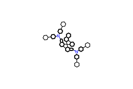 c1ccc2c(c1)-c1c(ccc3ccccc13)C21c2c(ccc3cc(N(c4ccc(C5CCCCC5)cc4)c4ccc(C5CCCCC5)cc4)ccc23)-c2ccc3cc(N(c4ccc(C5CCCCC5)cc4)c4ccc(C5CCCCC5)cc4)ccc3c21